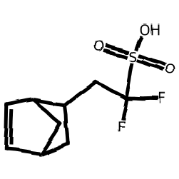 O=S(=O)(O)C(F)(F)CC1CC2C=CC1C2